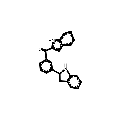 O=C(c1cccc(C2Cc3ccccc3N2)c1)c1cc2ccccc2[nH]1